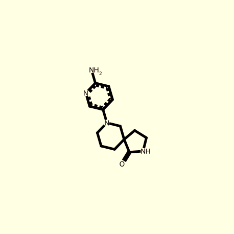 Nc1ccc(N2CCCC3(CCNC3=O)C2)cn1